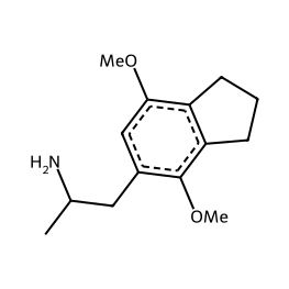 COc1cc(CC(C)N)c(OC)c2c1CCC2